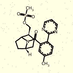 Cc1ccc(-c2ncccn2)c(C(=O)N2C3CC[C@H]2CC[C@@H]3COS(C)(=O)=O)c1